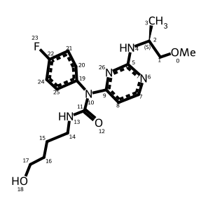 COC[C@H](C)Nc1nccc(N(C(=O)NCCCCO)c2ccc(F)cc2)n1